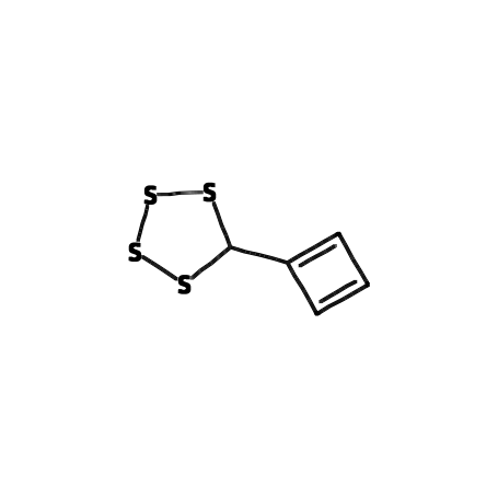 C1=CC(C2SSSS2)=C1